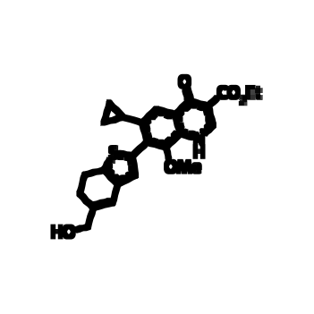 CCOC(=O)c1c[nH]c2c(OC)c(-c3cc4c(s3)CCC(CO)=C4)c(C3CC3)cc2c1=O